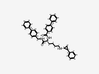 O=C(N[C@@H](CCCCN[C@@H]1CC1c1ccccc1)C(=O)NCc1ccc(-c2ccccc2)cc1)c1ccc(-c2ccccc2)cc1